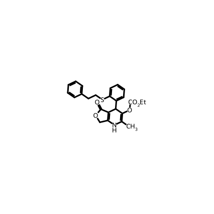 CCOC(=O)OC1=C(C)NC2=C(C(=O)OC2)C1c1ccccc1SCCc1ccccc1